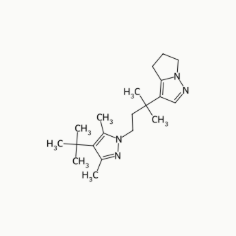 Cc1nn(CCC(C)(C)c2cnn3c2CCC3)c(C)c1C(C)(C)C